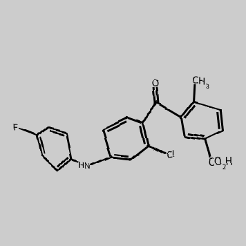 Cc1ccc(C(=O)O)cc1C(=O)c1ccc(Nc2ccc(F)cc2)cc1Cl